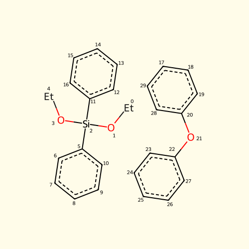 CCO[Si](OCC)(c1ccccc1)c1ccccc1.c1ccc(Oc2ccccc2)cc1